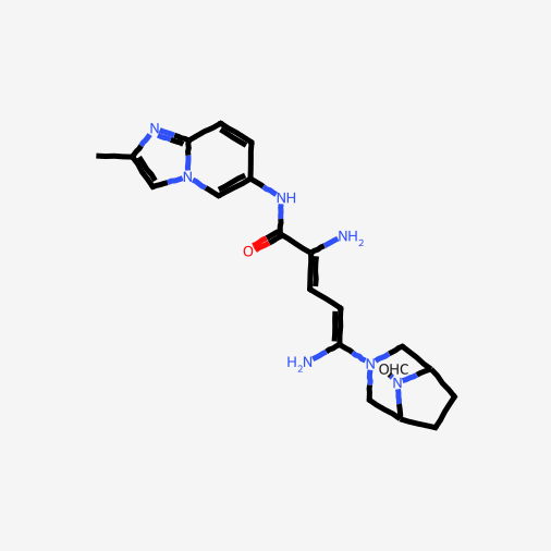 Cc1cn2cc(NC(=O)/C(N)=C/C=C(\N)N3CC4CCC(C3)N4C=O)ccc2n1